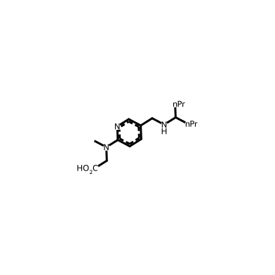 CCCC(CCC)NCc1ccc(N(C)CC(=O)O)nc1